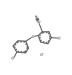 N#[N+]c1cc(Cl)ccc1Oc1ccc(Cl)cc1.[Cl-]